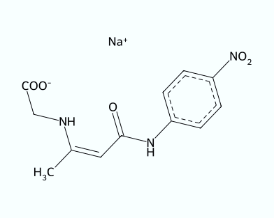 CC(=CC(=O)Nc1ccc([N+](=O)[O-])cc1)NCC(=O)[O-].[Na+]